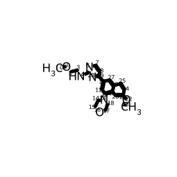 COCCNc1nccc(-c2cc(N3CCOCC3)c3cc(OC)ccc3c2)n1